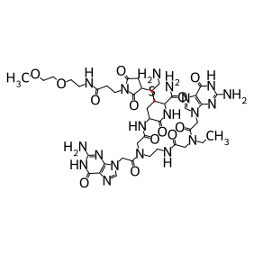 CCN(CC(=O)NCCN(CC(=O)NC(CCCCN)C(=O)NC(CSC1CC(=O)N(CCC(=O)NCCOCCOC)C1=O)C(N)=O)C(=O)Cn1cnc2c(=O)[nH]c(N)nc21)C(=O)Cn1cnc2c(=O)[nH]c(N)nc21